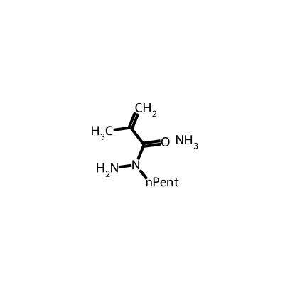 C=C(C)C(=O)N(N)CCCCC.N